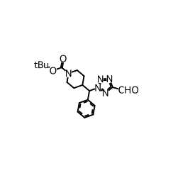 CC(C)(C)OC(=O)N1CCC(C(c2ccccc2)n2nnc(C=O)n2)CC1